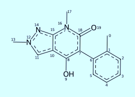 Cc1ccccc1-c1c(O)c2cn(C)nc2n(C)c1=O